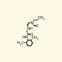 CCCN(C=O)/C=C\NCC(=O)Nc1c(C)cccc1C